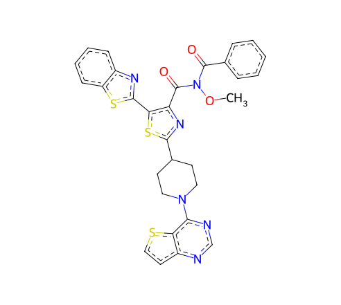 CON(C(=O)c1ccccc1)C(=O)c1nc(C2CCN(c3ncnc4ccsc34)CC2)sc1-c1nc2ccccc2s1